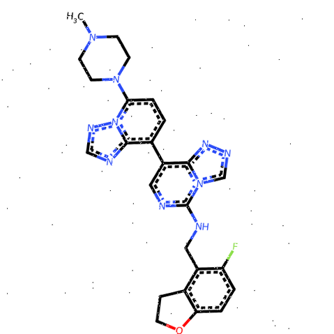 CN1CCN(c2ccc(-c3cnc(NCc4c(F)ccc5c4CCO5)n4cnnc34)c3ncnn23)CC1